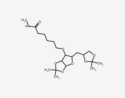 CNC(=O)CCCCCOC1C(CC2COC(C)(C)O2)OC2OC(C)(C)OC21